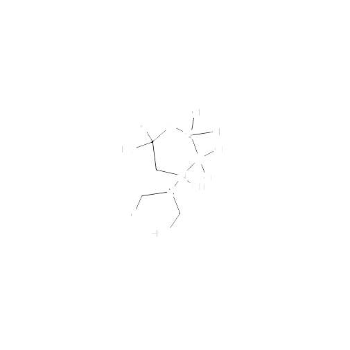 CCN(CC)[Si]1(C)CC(C)(C)O[Si](C)(C)[Si]1(C)C